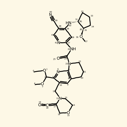 COC(OC)c1nc2c(cc1CN1CCOCC1=C=O)CCCN2C(=O)Nc1cc(N[C@@H]2CCC[C@H]2OC)c(C#N)cn1